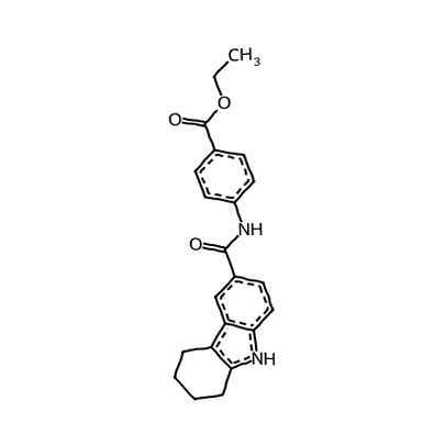 CCOC(=O)c1ccc(NC(=O)c2ccc3[nH]c4c(c3c2)CCCC4)cc1